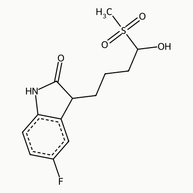 CS(=O)(=O)C(O)CCCC1C(=O)Nc2ccc(F)cc21